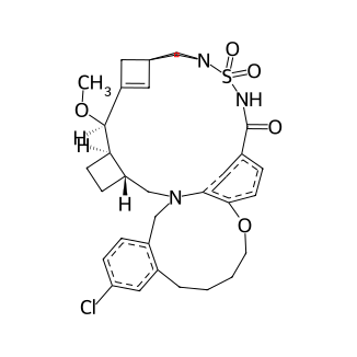 CO[C@H]1C2=CC3(C2)CN(C3)S(=O)(=O)NC(=O)c2ccc3c(c2)N(Cc2ccc(Cl)cc2CCCCO3)C[C@@H]2CC[C@H]21